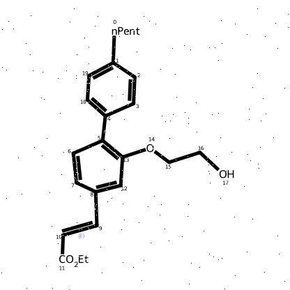 CCCCCc1ccc(-c2ccc(/C=C/C(=O)OCC)cc2OCCO)cc1